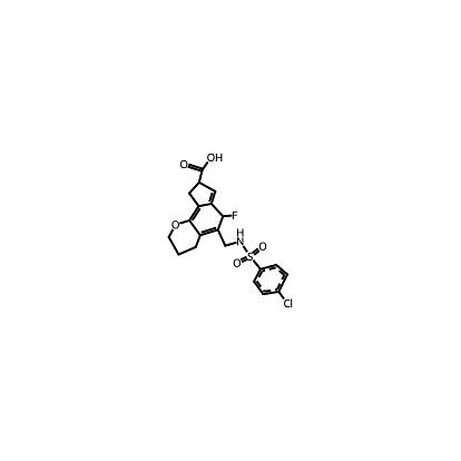 O=C(O)C1C=C2C(=C3OCCCC3=C(CNS(=O)(=O)c3ccc(Cl)cc3)C2F)C1